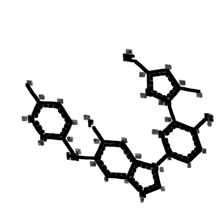 CCc1ccc(-n2cnc3cc(Nc4ccc(C)nn4)c(F)cc32)nc1-n1nc(C#N)cc1C